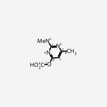 CNc1nc(C)cc(OC(=O)O)n1